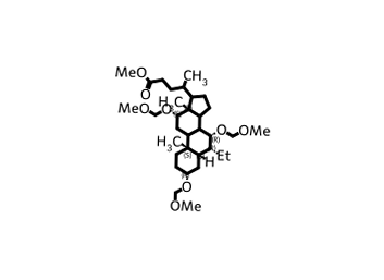 CC[C@H]1[C@@H](OCOC)C2C3CCC(C(C)CCC(=O)OC)[C@@]3(C)[C@@H](OCOC)CC2[C@@]2(C)CC[C@@H](OCOC)C[C@@H]12